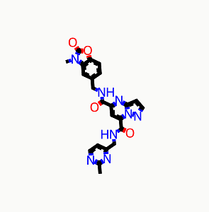 Cc1nccc(CNC(=O)c2cc(C(=O)NCc3ccc4oc(=O)n(C)c4c3)nc3ccnn23)n1